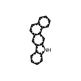 c1ccc2c(c1)ccc1cc3c(cc12)[nH]c1ccccc13